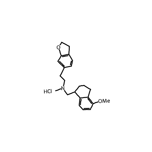 COc1cccc2c1CCCC2CN(C)CCc1ccc2c(c1)OCC2.Cl